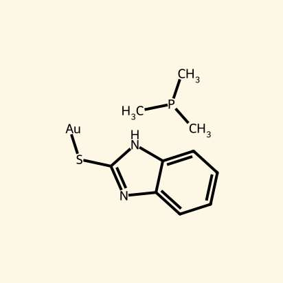 CP(C)C.[Au][S]c1nc2ccccc2[nH]1